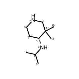 CC(C)N[C@@H]1CCNCC1(C)C